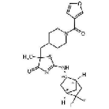 CC1(CC2CCN(C(=O)c3ccoc3)CC2)SC(N[C@H]2C[C@H]3C[C@@H]2CC3(F)F)=NC1=O